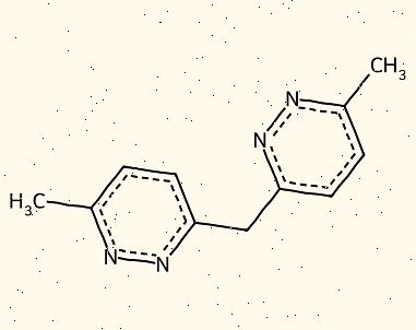 Cc1ccc(Cc2ccc(C)nn2)nn1